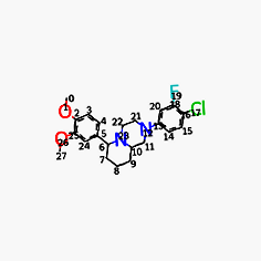 COc1ccc(C2CCCC3CN(c4ccc(Cl)c(F)c4)CCN32)cc1OC